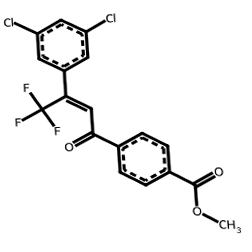 COC(=O)c1ccc(C(=O)C=C(c2cc(Cl)cc(Cl)c2)C(F)(F)F)cc1